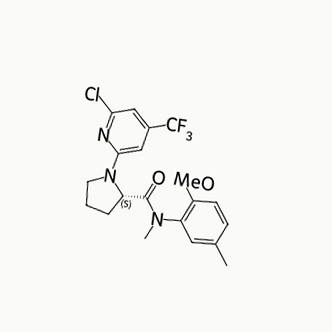 COc1ccc(C)cc1N(C)C(=O)[C@@H]1CCCN1c1cc(C(F)(F)F)cc(Cl)n1